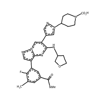 CNC(=O)c1cc(C)c(F)c(-c2cnn3cc(-c4cnn(C5CCN(C(=O)O)CC5)c4)c(NC4CCOC4)nc23)c1